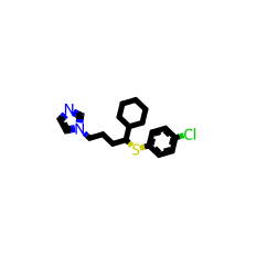 Clc1ccc(SC(CCCn2ccnc2)C2CCCCC2)cc1